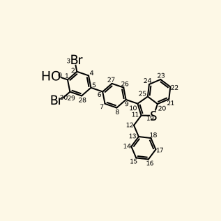 Oc1c(Br)cc(-c2ccc(-c3c(Cc4ccccc4)sc4ccccc34)cc2)cc1Br